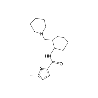 Cc1ccc(C(=O)NC2CCCCC2CN2CCCCC2)s1